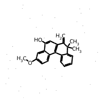 C=C1c2cc(O)c3cc(OC)ccc3c2-c2ccccc2C1(C)C